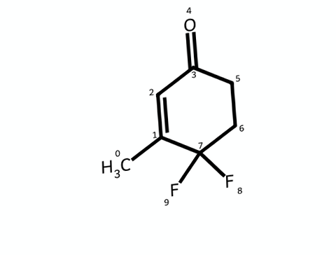 CC1=CC(=O)CCC1(F)F